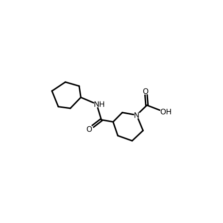 O=C(NC1CCCCC1)C1CCCN(C(=O)O)C1